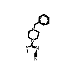 CS/C(=N\C#N)N1CCN(Cc2ccccc2)CC1